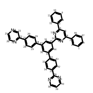 c1ccc(-c2cc(-c3ccccc3)nc(-c3cc(-c4ccc(-c5cnccn5)cc4)cc(-c4ccc(-c5ncccn5)cc4)c3)n2)cc1